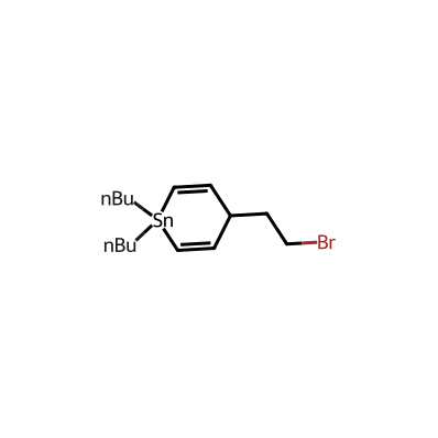 CCC[CH2][Sn]1([CH2]CCC)[CH]=CC(CCBr)C=[CH]1